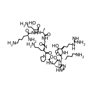 C[C@H](NC(=O)[C@@H](NC(=O)[C@@H](N)CCCCN)[C@@H](O)CN)C(=O)NCC(=O)/N=C(\CCCN)C(=O)N1CCC[C@H]1C(=O)N[C@@H](Cc1cnc[nH]1)C(=O)N[C@@H](CCCCN)C(=O)N/C(=C\CCNC(=N)N)C(=O)O